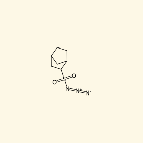 [N-]=[N+]=NS(=O)(=O)C1CC2CCC1C2